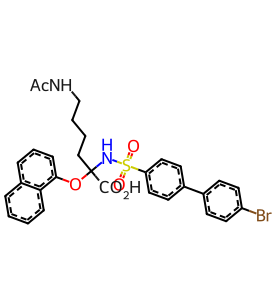 CC(=O)NCCCCC(NS(=O)(=O)c1ccc(-c2ccc(Br)cc2)cc1)(Oc1cccc2ccccc12)C(=O)O